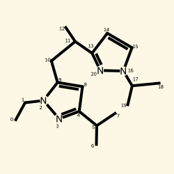 CCn1nc(C(C)C)cc1CC(C)c1ccn(C(C)C)n1